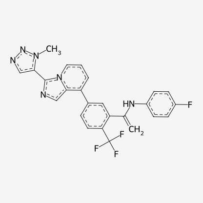 C=C(Nc1ccc(F)cc1)c1cc(-c2cccn3c(-c4cnnn4C)ncc23)ccc1C(F)(F)F